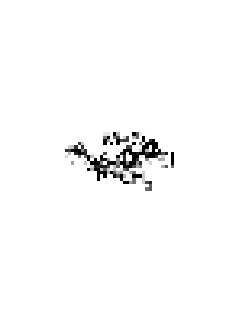 COc1cnc(Cl)cc1C1=CCN(c2nnc(OC[C@@H]3CCO3)s2)C(C)=C1